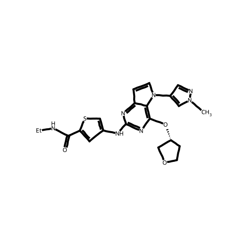 CCNC(=O)c1cc(Nc2nc(O[C@@H]3CCOC3)c3c(ccn3-c3cnn(C)c3)n2)cs1